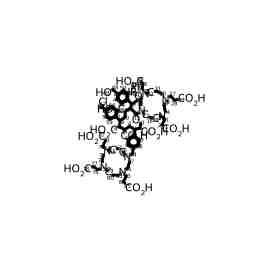 CC(C(=O)O)C(CC(C(=O)O)C(C(=O)O)C(CC(C(=O)O)C(C(=O)N1CCCN(CCC(=O)O)CCN(CCC(=O)O)CCCN(CCC(=O)O)CC1)C(COPP)c1ccc(CO)cc1)c1ccc(CCl)cc1)c1ccc(CN2CCCN(CCC(=O)O)CCN(CCC(=O)O)CCCN(CCC(=O)O)CC2)cc1